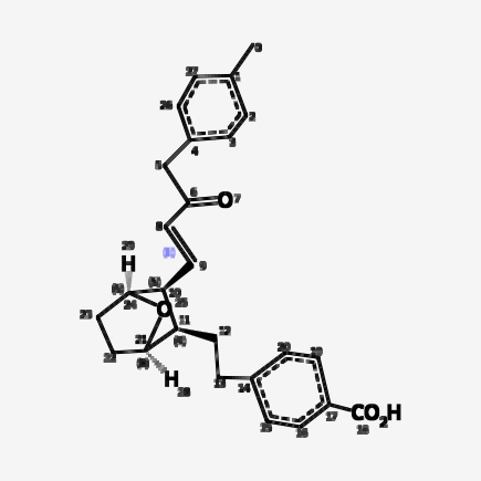 Cc1ccc(CC(=O)/C=C/[C@H]2[C@@H](CCc3ccc(C(=O)O)cc3)[C@H]3CC[C@@H]2O3)cc1